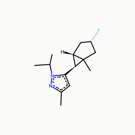 Cc1cc([C@H]2[C@@H]3C[C@H](F)CC32C)n(C(C)C)n1